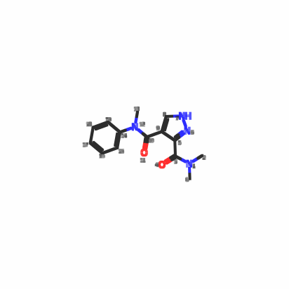 CN(C)C(=O)c1n[nH]cc1C(=O)N(C)c1ccccc1